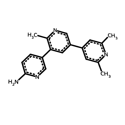 Cc1cc(-c2cnc(C)c(-c3ccc(N)nc3)c2)cc(C)n1